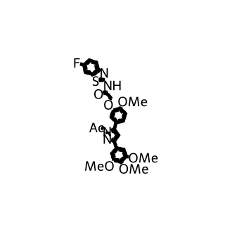 COc1ccc(-c2cc(-c3cc(OC)c(OC)c(OC)c3)nn2C(C)=O)cc1OCC(=O)Nc1nc2ccc(F)cc2s1